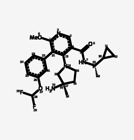 COc1ncc(C(=O)N[C@@H](C)C2CC2)c(N2CC[C@](C)(N)C2)c1-c1cccc(OC(F)F)c1